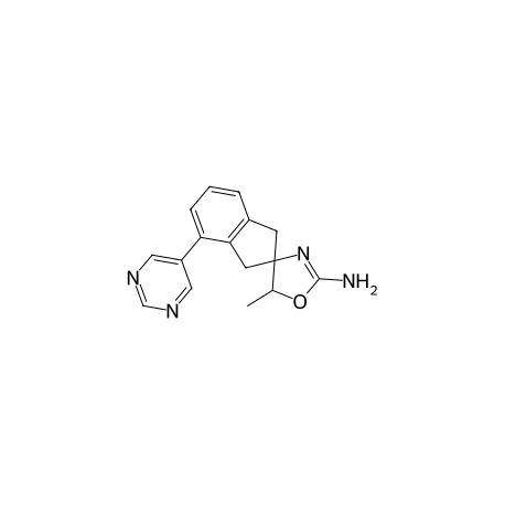 CC1OC(N)=NC12Cc1cccc(-c3cncnc3)c1C2